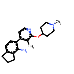 Cc1c(-c2ccc3c(c2N)CCC3)ccnc1OC1CCN(C)CC1